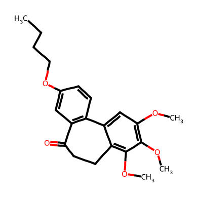 CCCCOc1ccc2c(c1)C(=O)CCc1c-2cc(OC)c(OC)c1OC